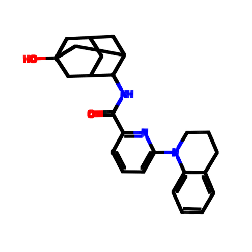 O=C(NC1C2CC3CC1CC(O)(C3)C2)c1cccc(N2CCCc3ccccc32)n1